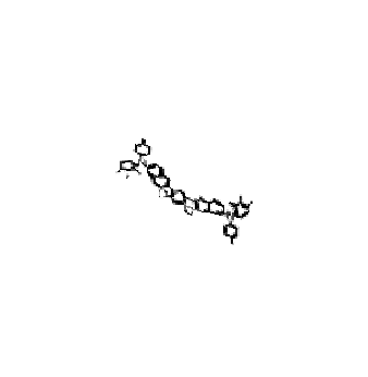 Cc1ccc(N(c2ccc3cc4c(cc3c2)oc2cc3oc5cc6cc(N(c7ccc(C)cc7)c7ccc(C)c(C)c7C)ccc6cc5c3cc24)c2ccc(C)c(C)c2C)cc1